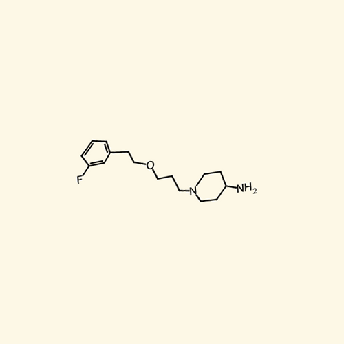 NC1CCN(CCCOCCc2cccc(F)c2)CC1